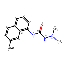 COc1ccc2cccc(NC(=O)NN(C)C)c2c1